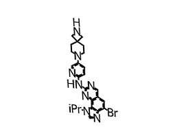 CC(C)n1cnc2c(Br)cc3cnc(Nc4ccc(N5CCC6(CC5)CNC6)cn4)nc3c21